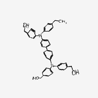 CCc1ccc(N(c2ccc(CO)cc2)c2ccc(-c3ccc(N(c4ccc(CO)cc4)c4ccc(CO)cc4)cc3)cc2)cc1